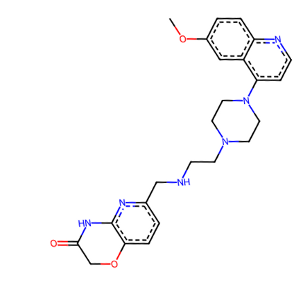 COc1ccc2nccc(N3CCN(CCNCc4ccc5c(n4)NC(=O)CO5)CC3)c2c1